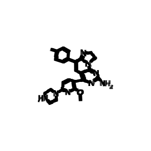 COc1nc(N2CCNCC2)ccc1-c1nc(N)nc2c1C=C(c1ccc(C)cc1)C1=NCCN12